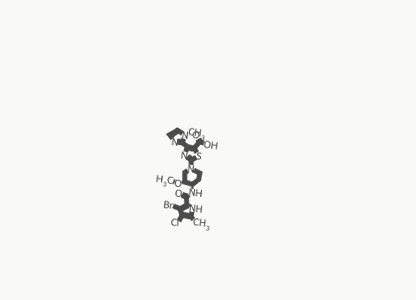 CO[C@H]1CN(c2nc(-c3nccn3C)c(C(=O)O)s2)CC[C@H]1NC(=O)c1[nH]c(C)c(Cl)c1Br